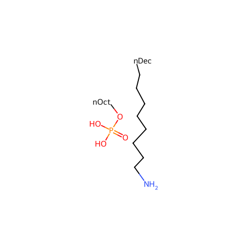 CCCCCCCCCCCCCCCCCCN.CCCCCCCCOP(=O)(O)O